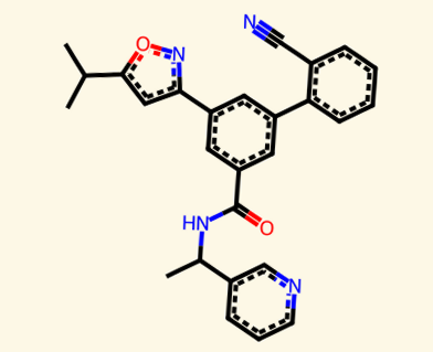 CC(C)c1cc(-c2cc(C(=O)NC(C)c3cccnc3)cc(-c3ccccc3C#N)c2)no1